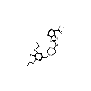 CCOc1cc(CN2CCC(Nc3nc4c(C(N)=O)[c]ccc4o3)CC2)cc(OCC)c1F